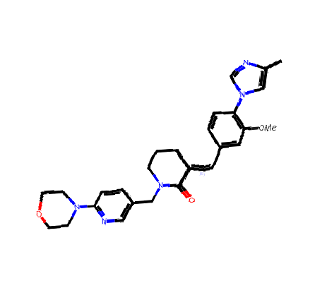 COc1cc(/C=C2\CCCN(Cc3ccc(N4CCOCC4)nc3)C2=O)ccc1-n1cnc(C)c1